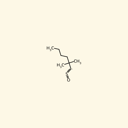 CCCCC(C)(C)[C]=S=O